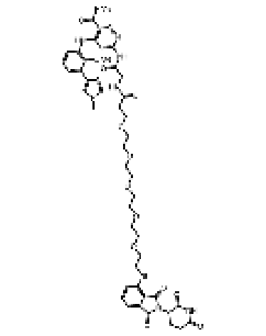 CNC(=O)c1nnc(NC(=O)CNC(=O)CCOCCOCCOCCOCCOCCNc2cccc3c2C(=O)N(C2CCC(=O)NC2=O)C3=O)cc1Nc1cccc(-c2ncn(C)n2)c1OC